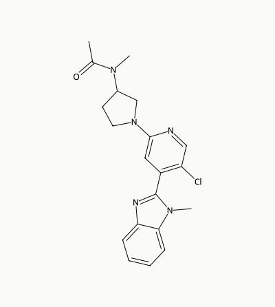 CC(=O)N(C)C1CCN(c2cc(-c3nc4ccccc4n3C)c(Cl)cn2)C1